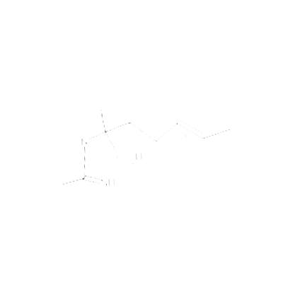 C/C=C/CCC(C)(NC(C)=N)C(=O)O